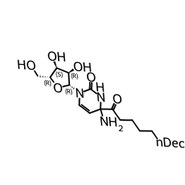 CCCCCCCCCCCCCCC(=O)C1(N)C=CN([C@@H]2O[C@H](CO)[C@@H](O)[C@H]2O)C(=O)N1